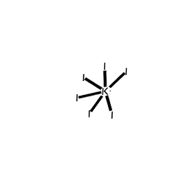 [I][K]([I])([I])([I])([I])[I]